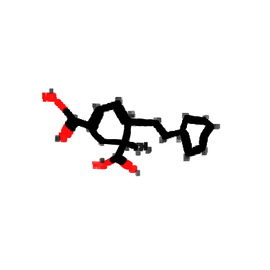 CC1(C(=O)O)CC(C(=O)O)=CC=C1CCc1ccccc1